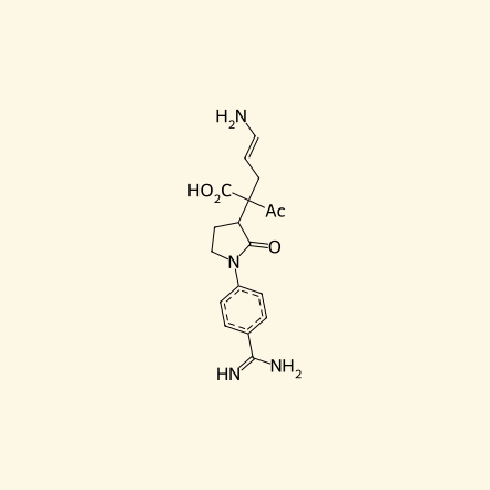 CC(=O)C(CC=CN)(C(=O)O)C1CCN(c2ccc(C(=N)N)cc2)C1=O